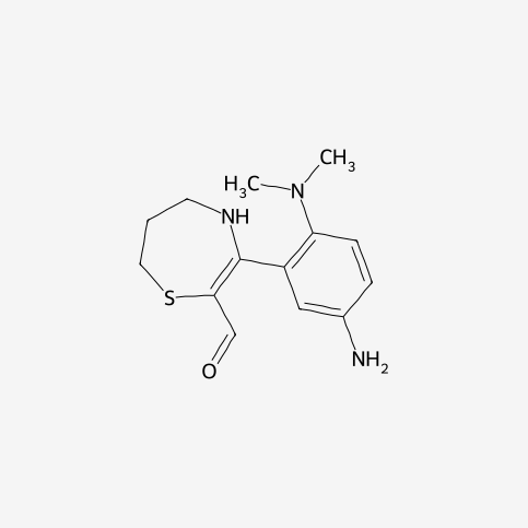 CN(C)c1ccc(N)cc1C1=C(C=O)SCCCN1